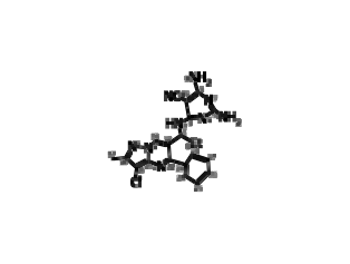 CCC(Nc1nc(N)nc(N)c1C#N)c1cn2nc(C)c(Cl)c2nc1-c1ccccc1